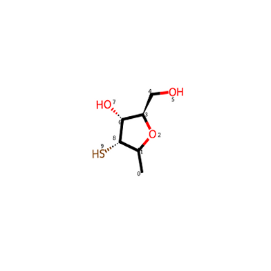 C[C]1O[C@H](CO)[C@@H](O)[C@H]1S